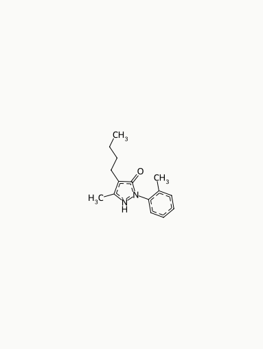 CCCCc1c(C)[nH]n(-c2ccccc2C)c1=O